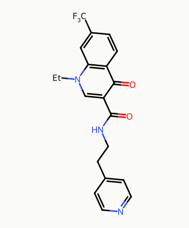 CCn1cc(C(=O)NCCc2ccncc2)c(=O)c2ccc(C(F)(F)F)cc21